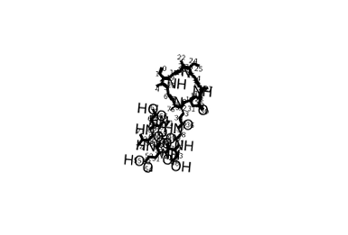 C=Cc1c(C)c2cc3nc(c4c5[nH]c(cc6nc(cc1[nH]2)C(C)=C6CC)c(C)c5C(=O)C4)[C@@H](CCC(=O)NCC(=O)NC(CC(=O)O)C(=O)NC(CCC(=O)O)C(=O)NC(C(=O)NC(CC(=O)O)C(=O)NC)C(C)C)[C@H]3C